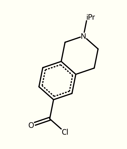 CC(C)N1CCc2cc(C(=O)Cl)ccc2C1